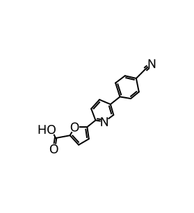 N#Cc1ccc(-c2ccc(-c3ccc(C(=O)O)o3)nc2)cc1